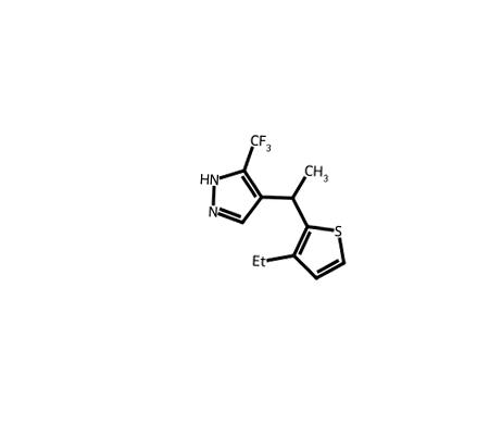 CCc1ccsc1C(C)c1cn[nH]c1C(F)(F)F